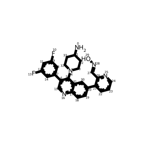 NC1CCN(c2c(-c3cc(F)cc(F)c3)cnc3ccc(-c4cccnc4C=NO)cc23)CC1